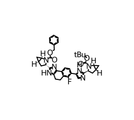 CC(C)(C)OC(=O)N1[C@@H]2C[C@@H]2C[C@H]1c1ncc(-c2ccc3c(c2F)CCc2[nH]c([C@@H]4C[C@H]5C[C@H]5N4C(=O)OCc4ccccc4)nc2-3)[nH]1